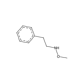 CONCCc1ccccc1